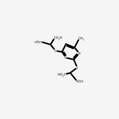 CCCCCCCCC(Oc1cc(C)nc(SC(CCCCCCCC)C(=O)O)n1)C(=O)O